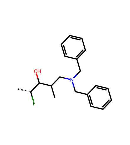 CC(CN(Cc1ccccc1)Cc1ccccc1)C(O)[C@@H](C)F